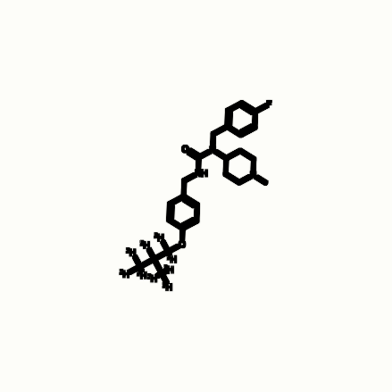 [2H]C([2H])([2H])C([2H])(C([2H])([2H])[2H])C([2H])([2H])Oc1ccc(CNC(=O)N(Cc2ccc(F)cc2)C2CCN(C)CC2)cc1